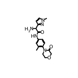 Cc1cc(NC(=O)C(N)c2ccn(C)n2)ccc1N1CCOCC1=O